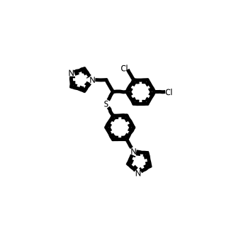 Clc1ccc(C(Cn2ccnc2)Sc2ccc(-n3ccnc3)cc2)c(Cl)c1